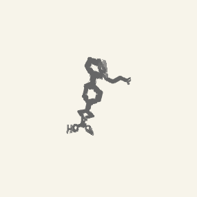 O=C(O)N1CC(c2ccc(-c3ccnn3CCF)cc2)C1